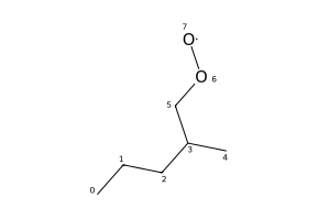 CCCC(C)CO[O]